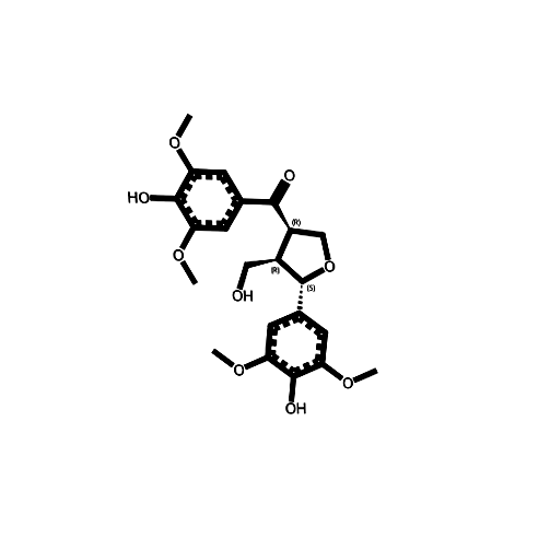 COc1cc(C(=O)[C@H]2CO[C@H](c3cc(OC)c(O)c(OC)c3)[C@H]2CO)cc(OC)c1O